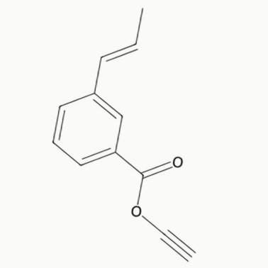 C#COC(=O)c1cccc(/C=C/C)c1